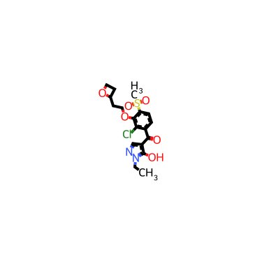 CCn1ncc(C(=O)c2ccc(S(C)(=O)=O)c(OCCC3CCO3)c2Cl)c1O